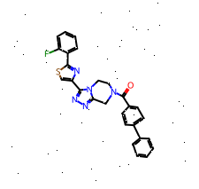 O=C(c1ccc(-c2ccccc2)cc1)N1CCn2c(nnc2-c2csc(-c3ccccc3F)n2)C1